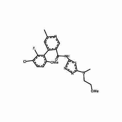 COCCN(C)c1nnc(NC(=O)c2cnc(C)cc2-c2c(OC)ccc(Cl)c2F)s1